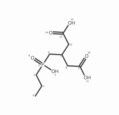 CCCP(=O)(O)CC(CC(=O)O)CC(=O)O